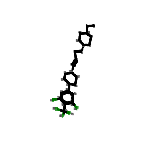 CC[C@H]1CC[C@H](/C=C/C#C[C@H]2CC[C@H](c3cc(F)c(C(F)(F)F)c(F)c3)CC2)CC1